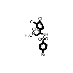 CN(C)CC(NS(=O)(=O)c1ccc(Br)cc1)c1ccc(Cl)c(Cl)c1